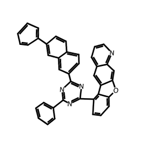 c1ccc(-c2ccc3ccc(-c4nc(-c5ccccc5)nc(-c5cccc6oc7cc8ncccc8cc7c56)n4)cc3c2)cc1